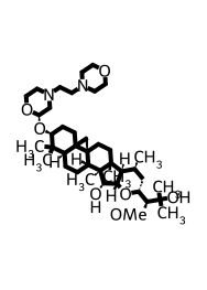 CO[C@@H]([C@H]1C[C@@H](C)[C@H]2[C@H](O1)[C@H](O)[C@@]1(C)[C@@H]3CC[C@H]4C(C)(C)[C@@H](O[C@H]5CN(CCN6CCOCC6)CCO5)CCC45C[C@@]35CC[C@]21C)C(C)(C)O